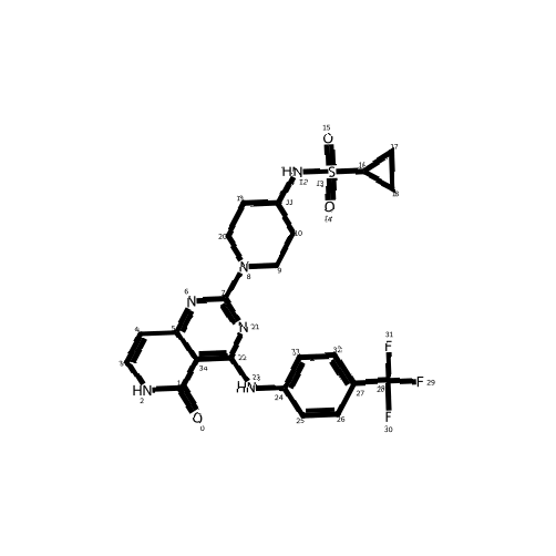 O=c1[nH]ccc2nc(N3CCC(NS(=O)(=O)C4CC4)CC3)nc(Nc3ccc(C(F)(F)F)cc3)c12